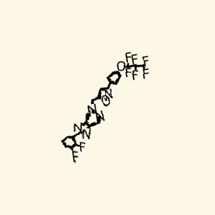 Fc1cccc(-c2nc3cnn(Cc4cc(-c5ccc(OC(F)(F)C(F)(F)C(F)F)cc5)no4)cc-3n2)c1F